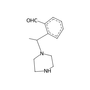 CC(c1ccccc1C=O)N1CCNCC1